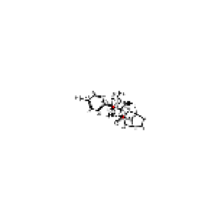 CC(C)(C)OC(=O)NC1CC2CCC(C1)N2C(=O)C(N)C(F)(F)c1ccc(I)cc1